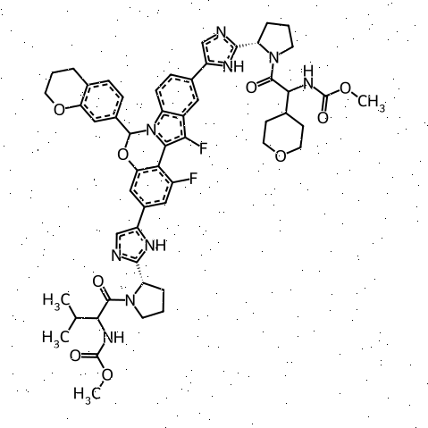 COC(=O)NC(C(=O)N1CCC[C@H]1c1ncc(-c2cc(F)c3c(c2)OC(c2ccc4c(c2)OCCC4)n2c-3c(F)c3cc(-c4cnc([C@@H]5CCCN5C(=O)C(NC(=O)OC)C5CCOCC5)[nH]4)ccc32)[nH]1)C(C)C